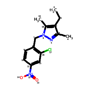 [CH2]Cc1c(C)nn(Cc2ccc([N+](=O)[O-])cc2Cl)c1C